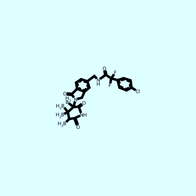 BC1C(=O)NC(=O)C(B)(N2Cc3cc(CNC(=O)C(F)(F)c4ccc(Cl)cc4)ccc3C2=O)C1(B)B